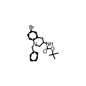 CC(C)(C)OC(=O)NC1Cc2cc(Br)ccc2N(Cc2ccccc2)C1